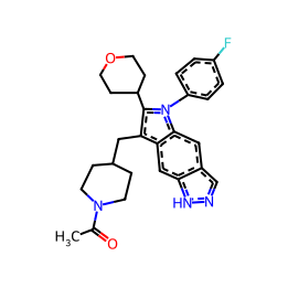 CC(=O)N1CCC(Cc2c(C3CCOCC3)n(-c3ccc(F)cc3)c3cc4cn[nH]c4cc23)CC1